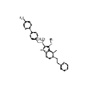 CCOC(=O)C(Cc1ccc(-c2ccc(C(F)(F)F)cn2)cc1)c1[nH]c2ccc(CCc3ccccn3)c(C)c2c1SC(C)(C)C